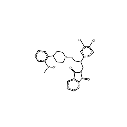 C[S+]([O-])c1ccccc1C1CCN(CCC(CN2C(=O)c3ccccc3C2=O)c2ccc(Cl)c(Cl)c2)CC1